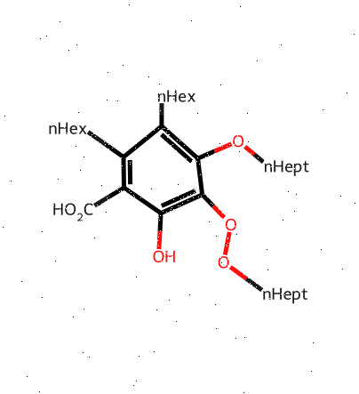 CCCCCCCOOc1c(O)c(C(=O)O)c(CCCCCC)c(CCCCCC)c1OCCCCCCC